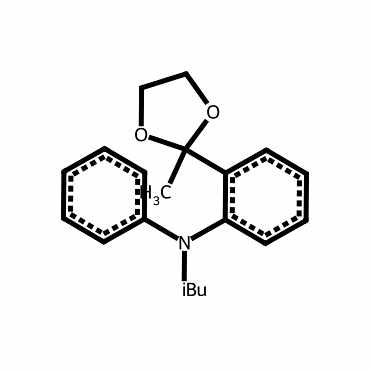 CCC(C)N(c1ccccc1)c1ccccc1C1(C)OCCO1